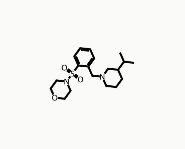 CC(C)C1CCCN(Cc2ccccc2S(=O)(=O)N2CCOCC2)C1